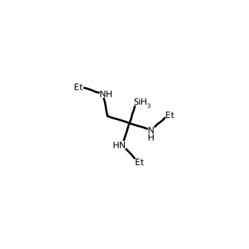 CCNCC([SiH3])(NCC)NCC